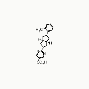 Cc1ccccc1[C@@H]1C[C@@H]2CN(c3ncc(C(=O)O)cn3)C[C@@H]2C1